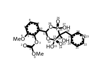 COC(=O)Oc1c(OC)cccc1C1OP(=O)(O)C(O)(Cc2cccnc2)P(=O)(O)O1